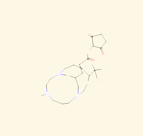 CN1CCCN2CCC(C(C)(C)C)CCCN(CC1)CC(CCC(=O)OC1C(=O)CCC1=O)C2